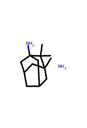 CC12CC3CC(C1)CC(N)(C3)C2(C)C.N